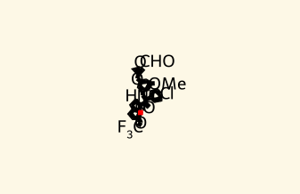 COc1cc(NC(C(=O)N2CCc3ccc(OC(F)(F)F)cc32)c2ccc(Cl)cc2)cc(OC2CC(OC=O)C2)c1